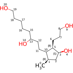 C[C@@H]1C[C@H](O)[C@H](CCCO)C1CCC(O)CCCCCO